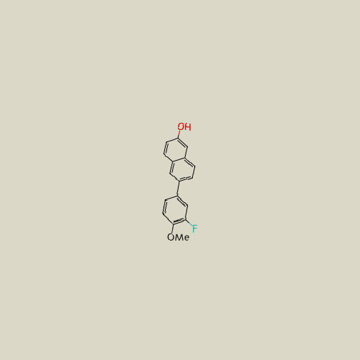 COc1ccc(-c2ccc3cc(O)ccc3c2)cc1F